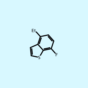 CCc1ccc(F)c2sccc12